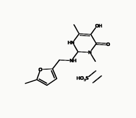 CC.CC1=C(O)C(=O)N(C)C(NCc2ccc(C)o2)N1.CS(=O)(=O)O